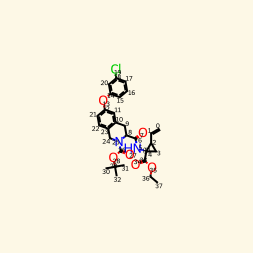 C=CC1C[C@]1(NC(=O)C1Cc2cc(Oc3cccc(Cl)c3)ccc2CN1C(=O)OC(C)(C)C)C(=O)OCC